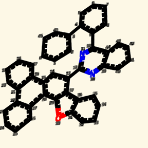 c1ccc(-c2ccccc2-c2nc(-c3cc4c5ccccc5c5ccccc5c4c4oc5ccccc5c34)nc3ccccc23)cc1